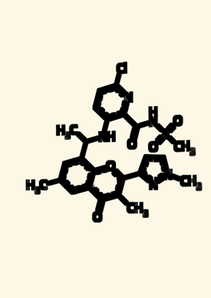 Cc1cc(C(C)Nc2ccc(Cl)nc2C(=O)NS(C)(=O)=O)c2oc(-c3ccn(C)n3)c(C)c(=O)c2c1